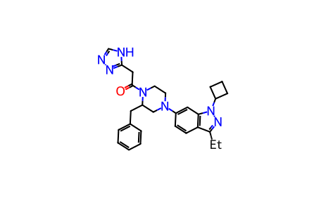 CCc1nn(C2CCC2)c2cc(N3CCN(C(=O)Cc4nnc[nH]4)C(Cc4ccccc4)C3)ccc12